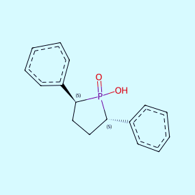 O=P1(O)[C@H](c2ccccc2)CC[C@H]1c1ccccc1